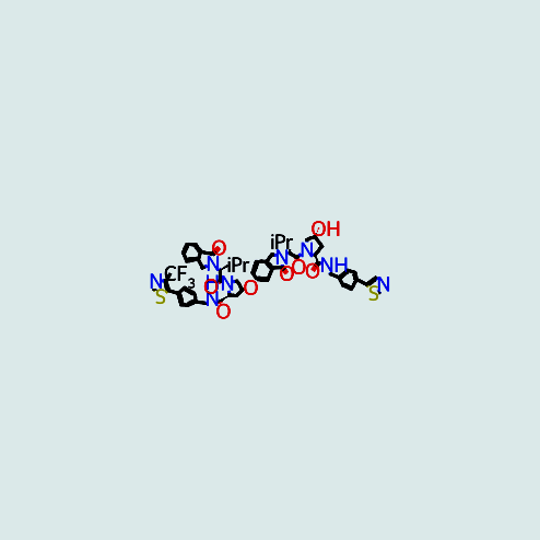 CC(C)[C@@H](C(=O)N1C[C@H](O)C[C@H]1C(=O)NCc1ccc(-c2cncs2)cc1)N1Cc2ccc(O[C@@H]3C[C@@H](C(=O)NCc4ccc(-c5scnc5C(F)(F)F)cc4)N(C(=O)[C@H](C(C)C)N4Cc5ccccc5C4=O)C3)cc2C1=O